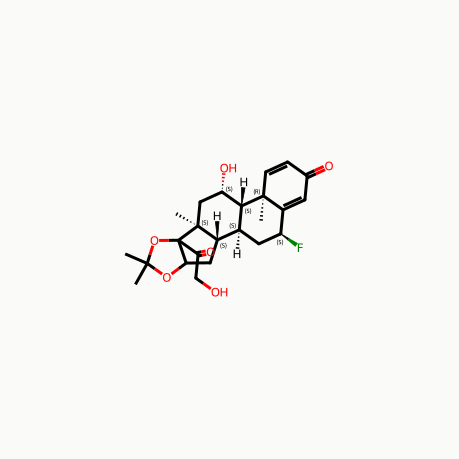 CC1(C)OC2C[C@H]3[C@@H]4C[C@H](F)C5=CC(=O)C=C[C@]5(C)[C@H]4[C@@H](O)C[C@]3(C)C2(C(=O)CO)O1